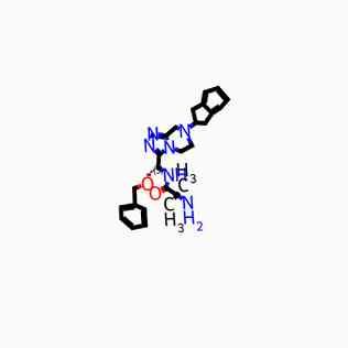 CC(C)(N)C(=O)N[C@H](COCc1ccccc1)c1nnc2n1CCN(C1Cc3ccccc3C1)C2